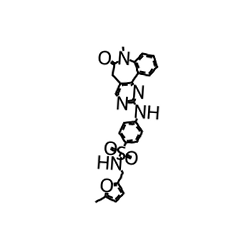 Cc1ccc(CNS(=O)(=O)c2ccc(Nc3ncc4c(n3)-c3ccccc3N(C)C(=O)C4)cc2)o1